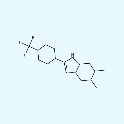 CC1CC2N=C(C3CCC(C(F)(F)F)CC3)NC2CC1C